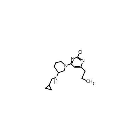 CCCc1cc(N2CCCC(NCC3CC3)C2)nc(Cl)n1